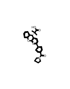 CC(C)(C(=O)O)[C@H]1c2ccccc2Oc2nc(-c3ccc(C(=O)N4CCCC4)cc3)ccc21